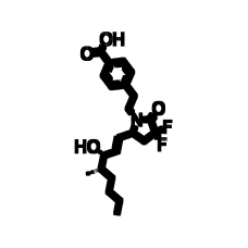 CCCC[C@H](C)[C@H](O)/C=C/C1CC(F)(F)C(=O)N1CCc1ccc(C(=O)O)cc1